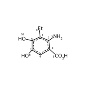 CCc1c(N)c(C(=O)O)cc(O)c1O